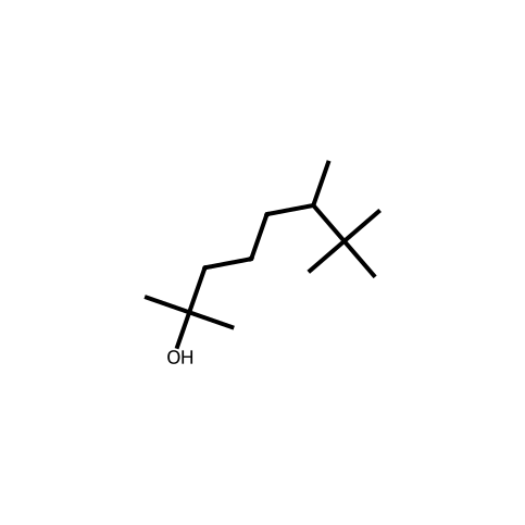 CC(CCCC(C)(C)O)C(C)(C)C